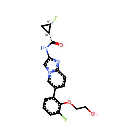 O=C(Nc1cn2cc(-c3cccc(F)c3OCCO)ccc2n1)[C@@H]1C[C@@H]1F